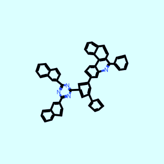 c1ccc(-c2cc(-c3ccc4c(c3)nc(-c3ccccc3)c3ccc5ccccc5c34)cc(-c3nc(-c4ccc5ccccc5c4)nc(-c4ccc5ccccc5c4)n3)c2)cc1